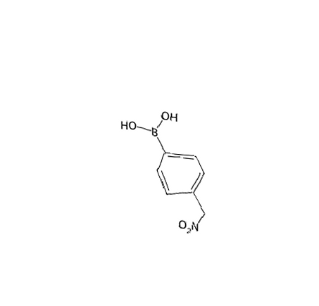 O=[N+]([O-])Cc1ccc(B(O)O)cc1